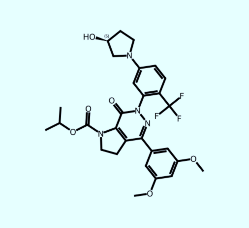 COc1cc(OC)cc(-c2nn(-c3cc(N4CC[C@H](O)C4)ccc3C(F)(F)F)c(=O)c3c2CCN3C(=O)OC(C)C)c1